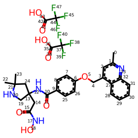 Cc1cc(COc2ccc(C(=O)NC3(CC(=O)NO)CNC(C)(C)C3)cc2)c2ccccc2n1.O=C(O)C(F)(F)F.O=C(O)C(F)(F)F